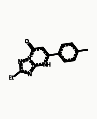 CCc1nc2[nH]c(-c3ccc(C)cc3)cc(=O)n2n1